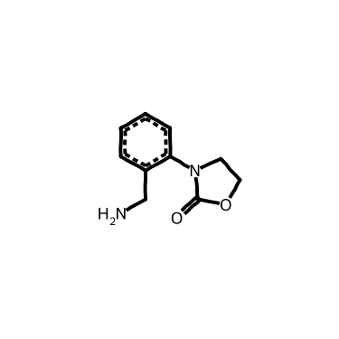 NCc1ccccc1N1CCOC1=O